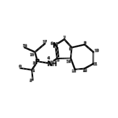 CC(C)P(NC1=NCC2CCCCCC12)C(C)C